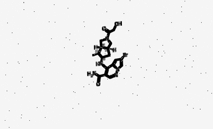 C[C@H]1[C@@H]2CN(C(=O)CO)C[C@H]2C[C@H]1Nc1c(C(N)=O)cnn2cc(Br)cc12